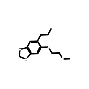 CCCc1cc2c(cc1OCCOC)OCO2